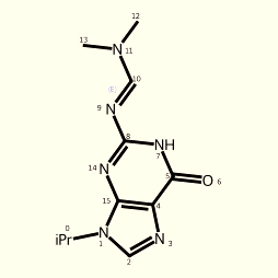 CC(C)n1cnc2c(=O)[nH]c(/N=C/N(C)C)nc21